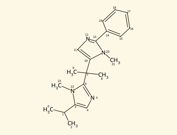 CC(C)c1cnc(C(C)(C)c2cnc(-c3ccccc3)n2C)n1C